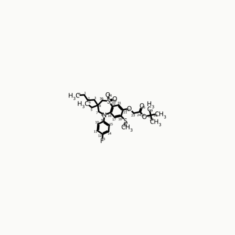 CCCCC1(CC)CN(c2ccc(F)cc2)c2cc(SC)c(OCC(=O)OC(C)(C)C)cc2S(=O)(=O)C1